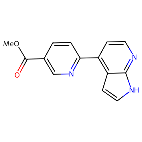 COC(=O)c1ccc(-c2ccnc3[nH]ccc23)nc1